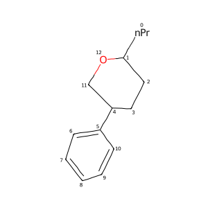 CCCC1CCC(c2ccccc2)CO1